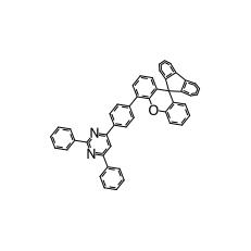 c1ccc(-c2cc(-c3ccc(-c4cccc5c4Oc4ccccc4C54c5ccccc5-c5ccccc54)cc3)nc(-c3ccccc3)n2)cc1